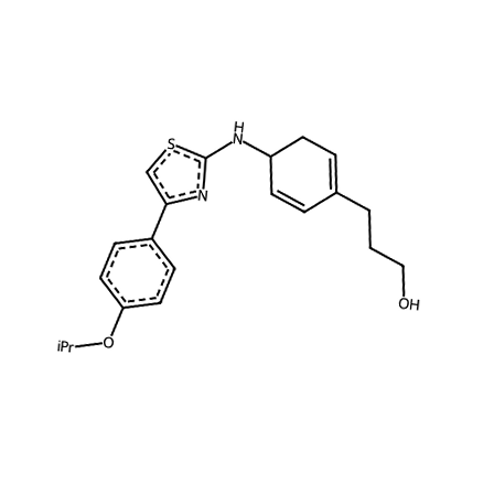 CC(C)Oc1ccc(-c2csc(NC3C=CC(CCCO)=CC3)n2)cc1